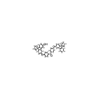 O=C(c1ccc(Oc2ccc(C3(c4ccccc4)OCCO3)cc2)cc1)c1ccc(Oc2ccc(C3(c4ccc(O)cc4)OCCO3)cc2)cc1